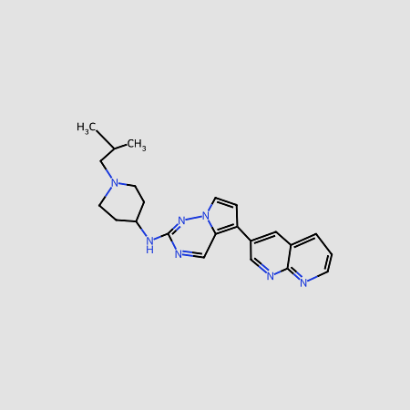 CC(C)CN1CCC(Nc2ncc3c(-c4cnc5ncccc5c4)ccn3n2)CC1